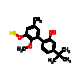 COc1c(OS)cc(C)cc1-c1ccc(C(C)(C)C)cc1O